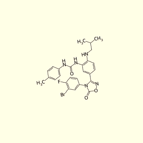 Cc1ccc(NC(=O)Nc2cc(-c3noc(=O)n3-c3ccc(F)c(Br)c3)ccc2NCC(C)C)cc1